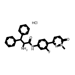 Cl.Cn1nc(-c2ccc(NC(=O)C(N)C(c3ccccc3)c3ccccc3)cc2F)ccc1=O